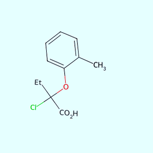 CCC(Cl)(Oc1ccccc1C)C(=O)O